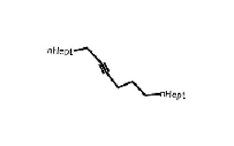 CCCCCCCCC#CCCCCCCCCCC